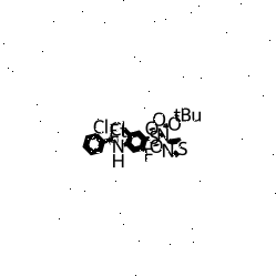 CC[C@H](Nc1cc(F)c(S(=O)(=O)N(C(=O)OC(C)(C)C)c2cscn2)cc1Cl)c1ccccc1Cl